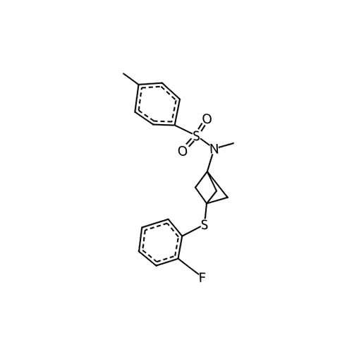 Cc1ccc(S(=O)(=O)N(C)C23CC(Sc4ccccc4F)(C2)C3)cc1